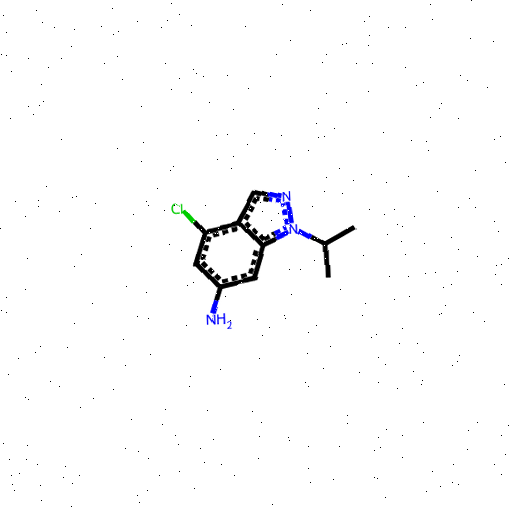 CC(C)n1ncc2c(Cl)cc(N)cc21